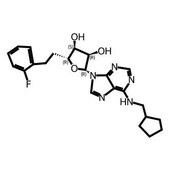 O[C@@H]1[C@H](O)[C@@H](CCc2ccccc2F)O[C@H]1n1cnc2c(NCC3CCCC3)ncnc21